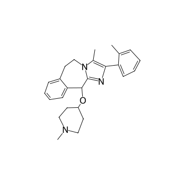 Cc1ccccc1-c1nc2n(c1C)CCc1ccccc1C2OC1CCN(C)CC1